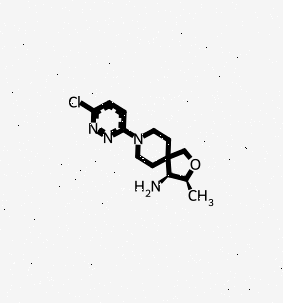 C[C@@H]1OCC2(CCN(c3ccc(Cl)nn3)CC2)[C@@H]1N